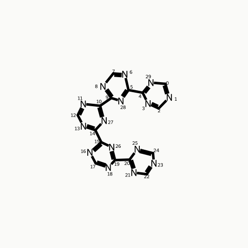 c1ncnc(-c2ncnc(-c3ncnc(-c4ncnc(-c5ncncn5)n4)n3)n2)n1